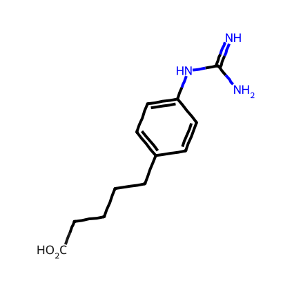 N=C(N)Nc1ccc(CCCCC(=O)O)cc1